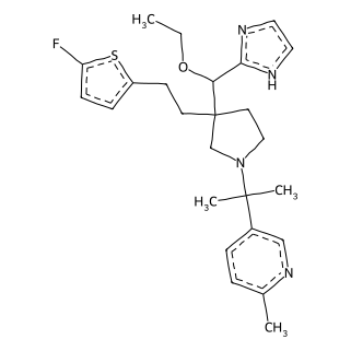 CCOC(c1ncc[nH]1)C1(CCc2ccc(F)s2)CCN(C(C)(C)c2ccc(C)nc2)C1